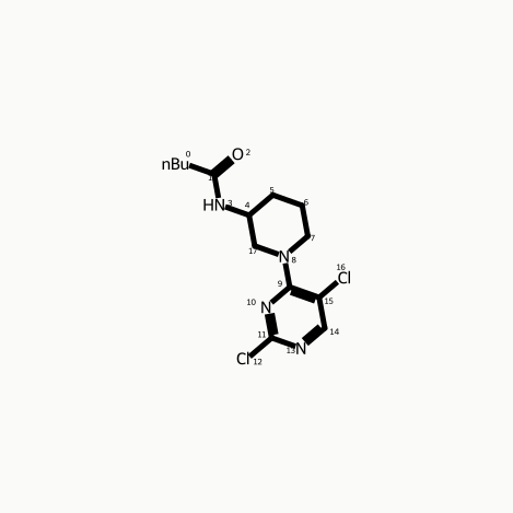 CCCCC(=O)NC1CCCN(c2nc(Cl)ncc2Cl)C1